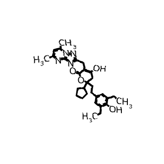 CCc1cc(CCC2(C3CCCC3)CC(O)=C(Cc3nc4nc(C)cc(C)n4n3)C(=O)O2)cc(CC)c1O